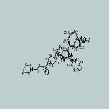 O=C(CCN1CCCCC1)N1CCC(n2cnc3c(-c4cccc5[nH]ccc45)nc(N4CCOCC4)nc32)CC1